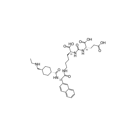 CCNC[C@H]1CC[C@H](C(=O)N[C@H](C(=O)NCCCC[C@H](NC(=O)N[C@@H](CCC(=O)O)C(=O)O)C(=O)O)c2ccc3ccccc3c2)CC1